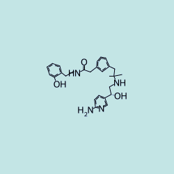 CC(C)(Cc1cccc(CC(=O)NCCc2ccccc2O)c1)NC[C@H](O)c1ccc(N)nc1